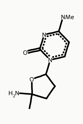 CNc1ccn(C2CCC(C)(N)O2)c(=O)n1